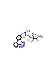 CCCN(Cc1ccc(-c2ccccc2-c2nnn[nH]2)cc1)C(=O)CCC(C)(C)C(=O)OC